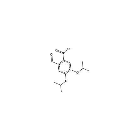 CC(C)Oc1cc(C=O)c([N+](=O)[O-])cc1OC(C)C